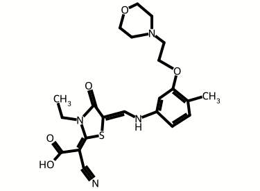 CCn1c(=C(C#N)C(=O)O)sc(=CNc2ccc(C)c(OCCN3CCOCC3)c2)c1=O